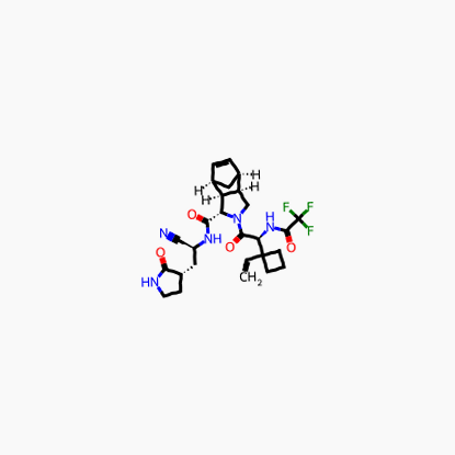 C=CC1([C@H](NC(=O)C(F)(F)F)C(=O)N2C[C@H]3[C@@H]([C@H]2C(=O)N[C@H](C#N)C[C@@H]2CCNC2=O)[C@H]2C=C[C@@H]3C2)CCC1